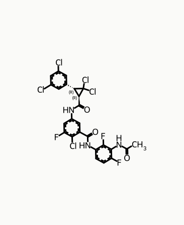 CC(=O)Nc1c(F)ccc(NC(=O)c2cc(NC(=O)[C@H]3[C@H](c4cc(Cl)cc(Cl)c4)C3(Cl)Cl)cc(F)c2Cl)c1F